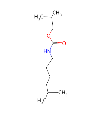 CC(C)CCCCNC(=O)OCC(C)C